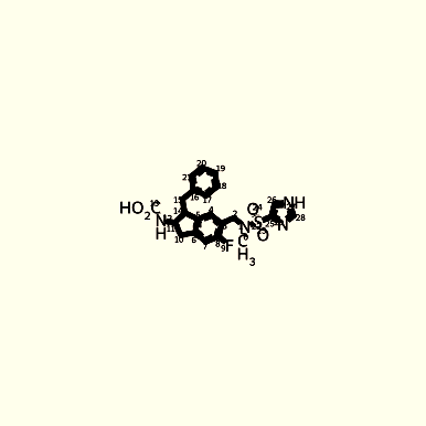 CN(Cc1cc2c(cc1F)CC(NC(=O)O)C2Cc1ccccc1)S(=O)(=O)c1c[nH]cn1